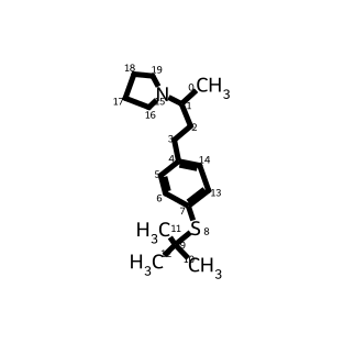 CC(CCc1ccc(SC(C)(C)C)cc1)N1CCCC1